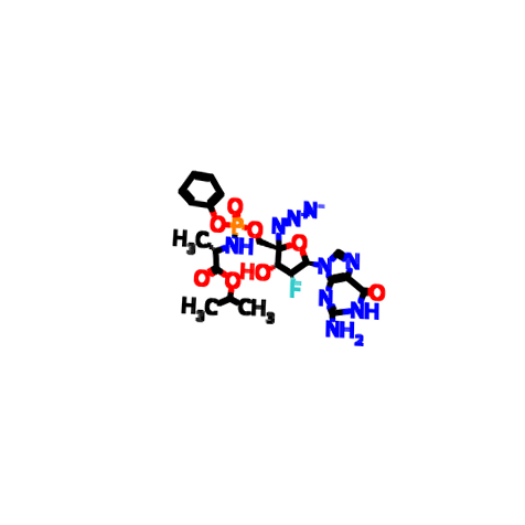 CC(C)OC(=O)[C@H](C)NP(=O)(OC[C@@]1(N=[N+]=[N-])O[C@@H](n2cnc3c(=O)[nH]c(N)nc32)[C@H](F)[C@@H]1O)Oc1ccccc1